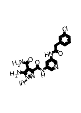 CC(C)n1nc(C(=O)Nc2cncc(NC(=O)Cc3cccc(Cl)c3)c2)c(C(N)=O)c1N